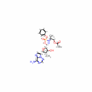 C[C@H]1[C@H](O)[C@@H](COP(=O)(N[C@@H](C)COC(=O)C(C)(C)C)Oc2ccccc2)O[C@H]1c1cnc2c(N)ncnn12